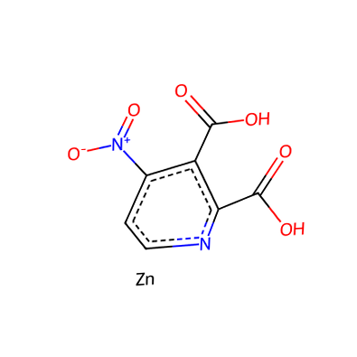 O=C(O)c1nccc([N+](=O)[O-])c1C(=O)O.[Zn]